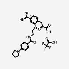 N=C(N)c1ccc(CC(=O)C(=O)O)c(OCCNC(=O)c2ccc(N3CCCC3)cc2)c1.O=C(O)C(F)(F)F